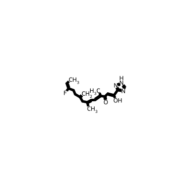 C=C(CC/C(F)=C\C)C/C(C)=C/C=C(\C)C(=O)/C=C(\O)c1nc[nH]n1